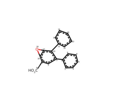 O=C(O)c1cc(-c2ccccc2)c(-c2ccccc2)c2c1O2